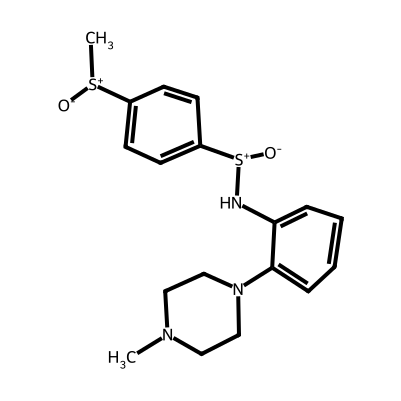 CN1CCN(c2ccccc2N[S+]([O-])c2ccc([S+](C)[O-])cc2)CC1